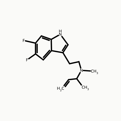 C=CC(C)N(C)CCc1c[nH]c2cc(F)c(F)cc12